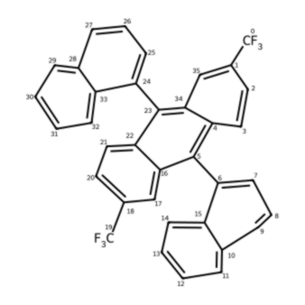 FC(F)(F)c1ccc2c(-c3cccc4ccccc34)c3cc(C(F)(F)F)ccc3c(-c3cccc4ccccc34)c2c1